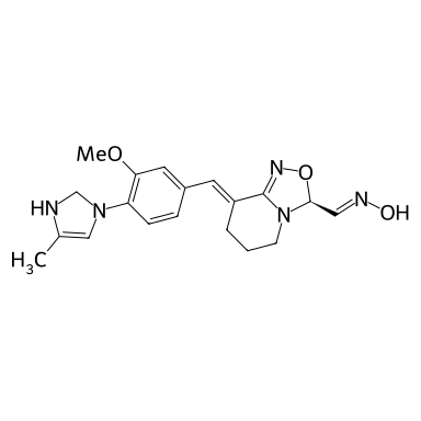 COc1cc(/C=C2\CCCN3C2=NO[C@H]3/C=N/O)ccc1N1C=C(C)NC1